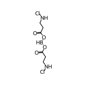 O=C(CCNCl)OBOC(=O)CCNCl